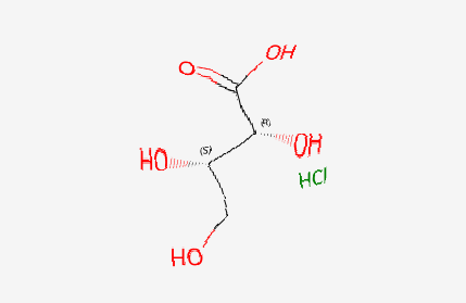 Cl.O=C(O)[C@H](O)[C@@H](O)CO